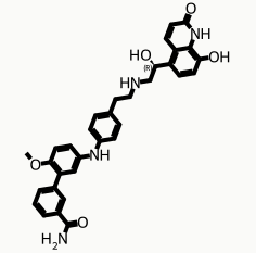 COc1ccc(Nc2ccc(CCNC[C@H](O)c3ccc(O)c4[nH]c(=O)ccc34)cc2)cc1-c1cccc(C(N)=O)c1